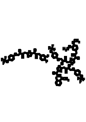 COc1ccc(CNC(=O)c2csc(CNC(=O)COc3ccc(OC(F)(F)F)cc3)n2)cc1OC.CSc1ccccc1CNC(=O)c1coc(CNC(=O)COc2ccc(OC(F)(F)F)cc2)n1.O=C(COc1ccc(OC(F)(F)F)cc1)NCc1nc(C(=O)NCc2ccc(F)c(F)c2)cs1